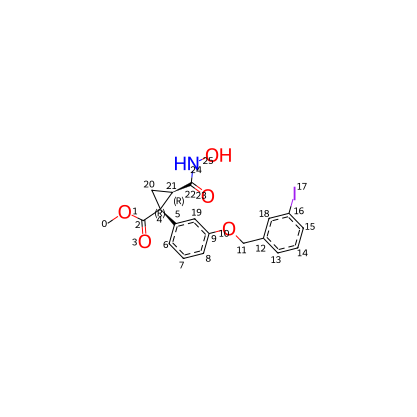 COC(=O)[C@]1(c2cccc(OCc3cccc(I)c3)c2)C[C@H]1C(=O)NO